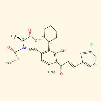 COc1cc(OC)c([C@@H]2CCCC[C@H]2OC(=O)[C@H](C)NC(=O)OC(C)(C)C)c(O)c1C(=O)C=Cc1cccc(Br)c1